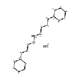 B(OCCCN1CCCCC1)OCCCN1CCCCC1.Cl